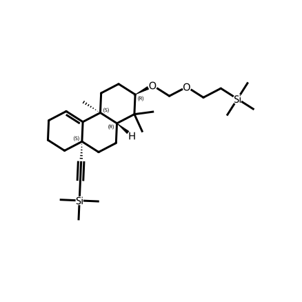 CC1(C)[C@H](OCOCC[Si](C)(C)C)CC[C@]2(C)C3=CCCC[C@]3(C#C[Si](C)(C)C)CC[C@@H]12